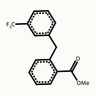 COC(=O)c1ccccc1Cc1cccc(C(F)(F)F)c1